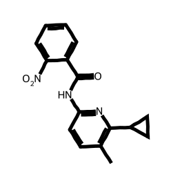 Cc1ccc(NC(=O)c2ccccc2[N+](=O)[O-])nc1C1CC1